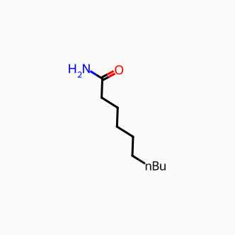 CCCCCCCCCC(N)=O